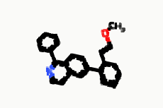 COC=Cc1ccccc1-c1ccc2c(-c3ccccc3)nccc2c1